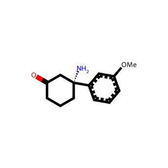 COc1cccc([C@@]2(N)CCCC(=O)C2)c1